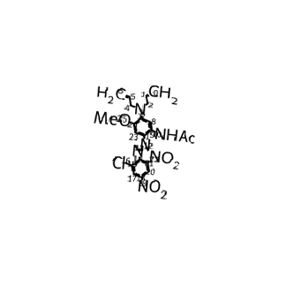 C=CCN(CC=C)c1cc(NC(C)=O)c(N=Nc2c(Cl)cc([N+](=O)[O-])cc2[N+](=O)[O-])cc1OC